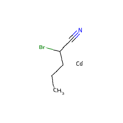 CCCC(Br)C#N.[Cd]